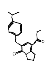 COC(=O)c1cc(Cc2ccc(C(C)C)cc2)c(=O)n2c1CCC2